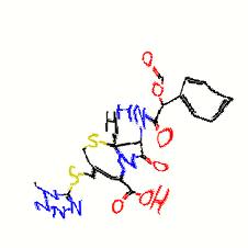 Cn1nnnc1SCC1=C(C(=O)O)N2C(=O)C(NC(=O)C(OC=O)c3ccccc3)[C@H]2SC1